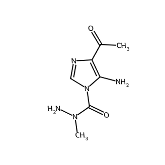 CC(=O)c1ncn(C(=O)N(C)N)c1N